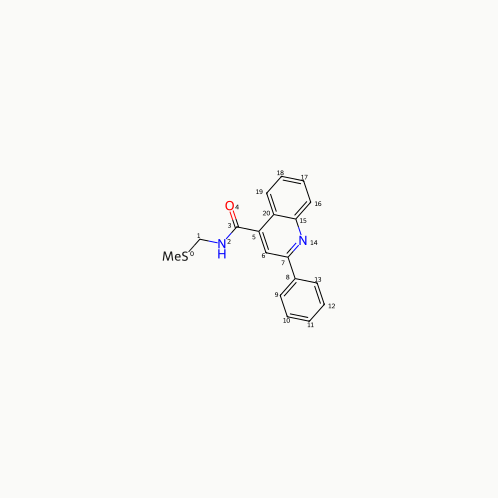 CSCNC(=O)c1cc(-c2ccccc2)nc2ccccc12